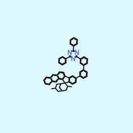 CC1CC2CC(C)C3(c4ccc(-c5cccc(-c6cccc(-c7nc(-c8ccccc8)nc(-c8ccccc8)n7)c6)c5)cc4-c4ccc5cc6ccccc6cc5c43)C(C1)C2